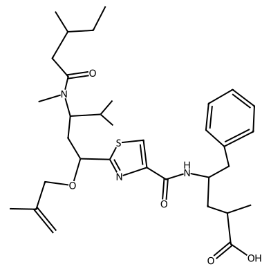 C=C(C)COC(CC(C(C)C)N(C)C(=O)CC(C)CC)c1nc(C(=O)NC(Cc2ccccc2)CC(C)C(=O)O)cs1